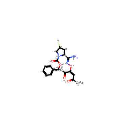 COC(=O)C=C(ON=C(N)[C@@H]1C[C@H](F)CN1C(=O)OCc1ccccc1)C(=O)OC